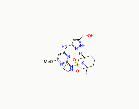 COc1cc(Nc2cc(CO)[nH]n2)nc(NC2C[C@H]3CCC[C@@H](C2)N3S(=O)(=O)N2CCC2)n1